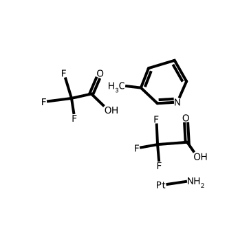 Cc1cccnc1.O=C(O)C(F)(F)F.O=C(O)C(F)(F)F.[NH2][Pt]